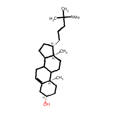 CNC(C)(C)CCC[C@H]1CCC2C3CC=C4C[C@@H](O)CC[C@]4(C)C3CC[C@@]21C